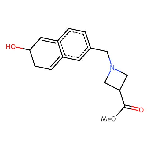 COC(=O)C1CN(Cc2ccc3c(c2)=CCC(O)C=3)C1